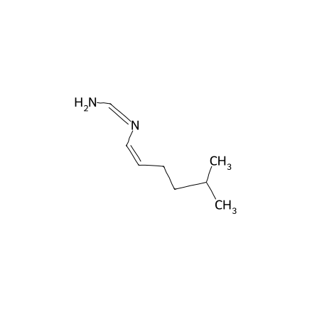 CC(C)CC/C=C\N=C/N